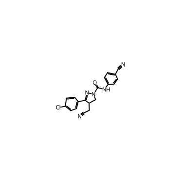 N#CCC1CN(C(=O)Nc2ccc(C#N)cc2)N=C1c1ccc(Cl)cc1